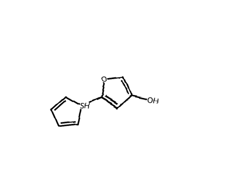 Oc1coc([SH]2C=CC=C2)c1